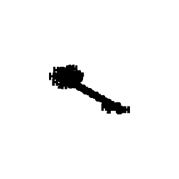 CCC(=O)N[C@H](C(=O)NCC(=O)N[C@@H]1C[S+]([O-])c2[nH]c3c(CSCCOCCOCCOCCOCCOCCOCCOCCOCCOCCOCCOCCN/C=C(\N)CNC(=O)CCC(=O)O)c(O)ccc3c2C[C@@H](C(N)=O)NC(=O)[C@H]([C@@H](C)[C@@H](O)CO)NC(=O)[C@@H]2C[C@@H](O)CN2C(=O)[C@H](CC(N)=O)NC1=O)[C@@H](C)CC